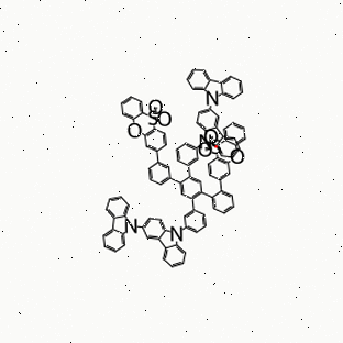 O=S1(=O)c2ccccc2Oc2cc(-c3cccc(-c4cc(-c5cccc(-n6c7ccccc7c7cc(-n8c9ccccc9c9ccccc98)ccc76)c5)c(-c5ccccc5-c5ccc6c(c5)Oc5ccccc5S6(=O)=O)cc4-c4cccc(-n5c6ccccc6c6cc(-n7c8ccccc8c8ccccc87)ccc65)c4)c3)ccc21